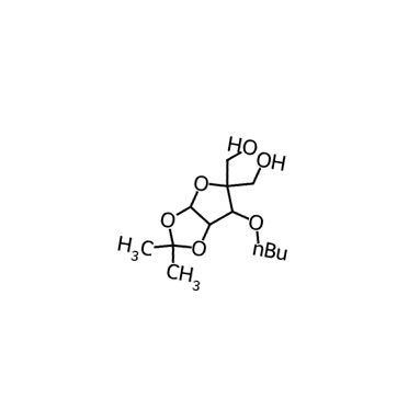 CCCCOC1C2OC(C)(C)OC2OC1(CO)CO